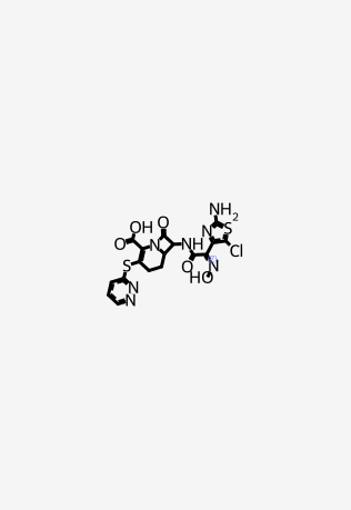 Nc1nc(/C(=N/O)C(=O)NC2C(=O)N3C(C(=O)O)=C(Sc4cccnn4)CCC23)c(Cl)s1